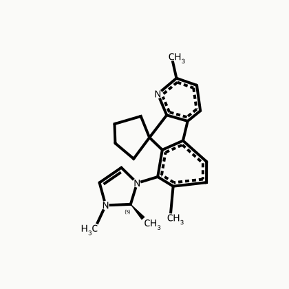 Cc1ccc2c(n1)C1(CCCC1)c1c-2ccc(C)c1N1C=CN(C)[C@@H]1C